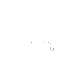 CCF.[Li]